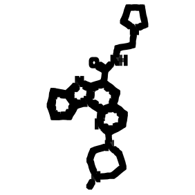 CN1CCCN(c2ccc3cc(C(=O)NCCN4CCCC4)c4nc5ccccc5n4c3n2)CC1